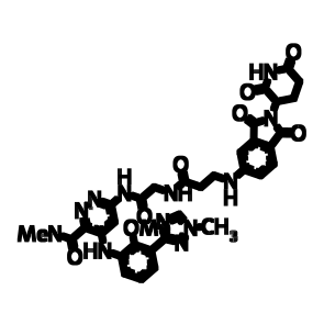 CNC(=O)c1nnc(NC(=O)CNC(=O)CCNc2ccc3c(c2)C(=O)N(C2CCC(=O)NC2=O)C3=O)cc1Nc1cccc(-c2ncn(C)n2)c1OC